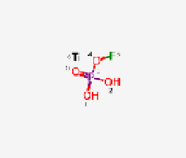 O=P(O)(O)OF.[Ti]